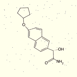 NC(=O)[C@@H](O)c1ccc2cc(OC3CCCC3)ccc2c1